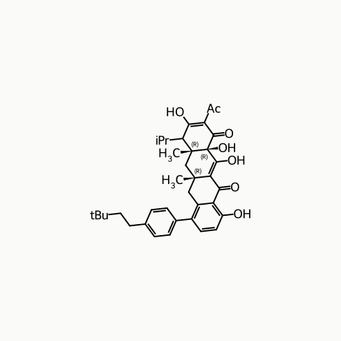 CC(=O)C1=C(O)C(C(C)C)[C@@]2(C)C[C@@]3(C)Cc4c(-c5ccc(CCC(C)(C)C)cc5)ccc(O)c4C(=O)C3=C(O)[C@@]2(O)C1=O